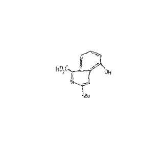 CCCCc1cc2c(O)cccc2c(C(=O)O)n1